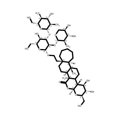 C[C@H]1[C@H](O[C@H]2[C@H](O)[C@@H](CO)O[C@@H](OCC[C@@]34CCCCC[C@H]3[C@]3(C)CCC5[C@H]6[C@H](OC(=O)[C@@]5(C)[C@H]3CC4)O[C@H](CO)[C@@H](O)[C@@H]6O)[C@@H]2O[C@@H]2OC[C@@H](O)[C@H](O)[C@H]2C)O[C@H](CO)[C@@H](C)[C@@H]1O